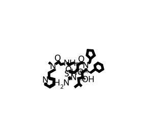 CC(C)C[C@H](O)[C@H](O)[C@H](CC1CCCCC1)N(CC1CCCC1)C(=O)[C@@H](CC(=O)NCC(=O)N(C)CCc1ccccn1)Cc1csc(N)n1